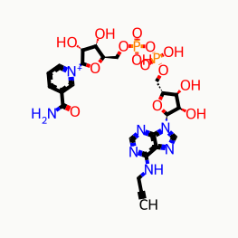 C#CCNc1ncnc2c1ncn2[C@@H]1O[C@H](COP(=O)(O)OP(=O)(O)OC[C@H]2O[C@@H]([n+]3cccc(C(N)=O)c3)[C@H](O)[C@@H]2O)[C@@H](O)[C@H]1O